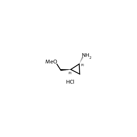 COC[C@@H]1C[C@H]1N.Cl